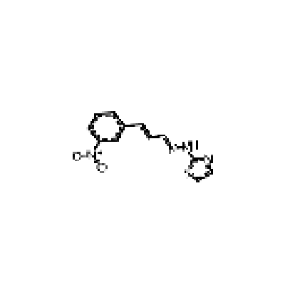 O=[N+]([O-])c1cccc(C=CC=NNc2nccs2)c1